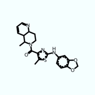 Cc1sc(Nc2ccc3c(c2)OCO3)nc1C(=O)N1CCC2N=CC=CC2C1C